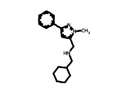 Cn1nc(-c2ccccc2)cc1CNCC1CCCCC1